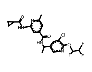 Cc1cc(C(=O)NC(C)c2cnc(OC(F)C(F)F)c(Cl)c2)cc(NC(=O)C2CC2)n1